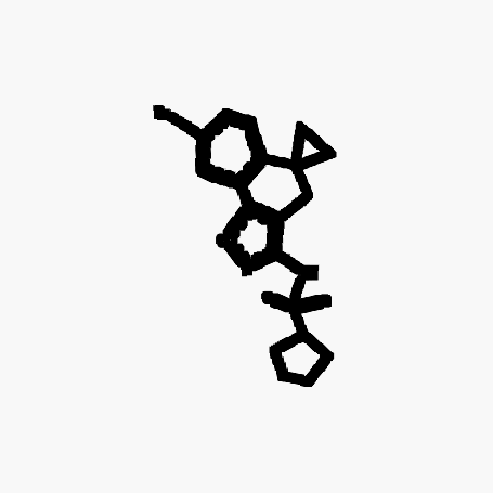 O=S(=O)(Nc1noc2c1CC1(CC1)c1ccc(Br)cc1-2)C1CCCC1